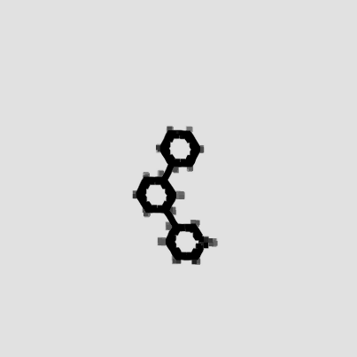 [c]1ccc(-c2ccccc2)cc1-c1cccnc1